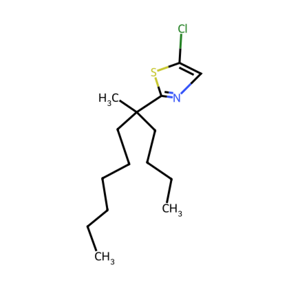 CCCCCCC(C)(CCCC)c1ncc(Cl)s1